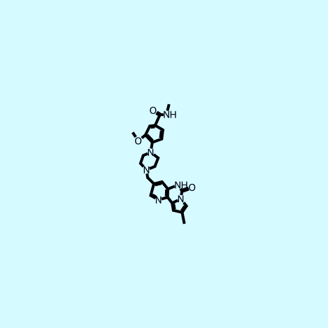 CNC(=O)c1ccc(N2CCN(Cc3cnc4c(c3)[nH]c(=O)n3cc(C)cc43)CC2)c(OC)c1